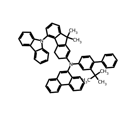 CC(C)(C)c1cc(N(C2=CC3=C(CC2)c2c(-n4c5ccccc5c5ccccc54)cccc2C3(C)C)c2cc3ccccc3c3ccccc23)ccc1-c1ccccc1